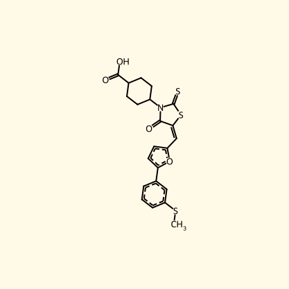 CSc1cccc(-c2ccc(/C=C3/SC(=S)N(C4CCC(C(=O)O)CC4)C3=O)o2)c1